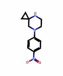 O=[N+]([O-])c1ccc(N2CCNC3(CC3)C2)cc1